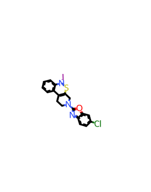 Clc1ccc2nc(N3CCC4=C(C3)SN(I)c3ccccc34)oc2c1